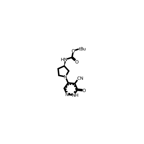 CC(C)(C)OC(=O)N[C@@H]1CCN(c2cn[nH]c(=O)c2C#N)C1